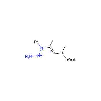 CCCCCC(C)/C=C(\C)N(CC)NN